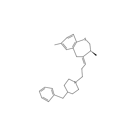 Cc1ccc2c(c1)C/C(=C\CCN1CCC(Cc3ccccc3)CC1)[C@H](C)CS2